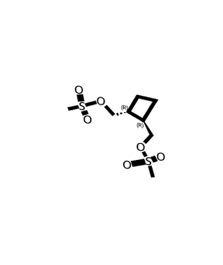 CS(=O)(=O)OC[C@@H]1CC[C@H]1COS(C)(=O)=O